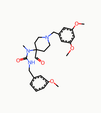 COc1cccc(CNC(=O)N(C)C2(C=O)CCN(Cc3cc(OC)cc(OC)c3)CC2)c1